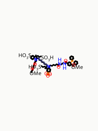 COCCOCCOCC[N+]1=C(/C=C/C=C/C=C/C=C2/N(CCCCCC(=O)NCCNC(=O)c3ccc(C(=O)OC)c(P(c4ccccc4)c4ccccc4)c3)c3ccc(S(=O)(=O)[O-])cc3C2(C)CCCS(=O)(=O)O)C(C)(CCCS(=O)(=O)O)c2cc(S(=O)(=O)O)ccc21